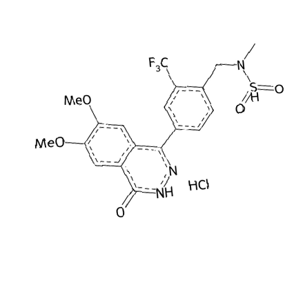 COc1cc2c(-c3ccc(CN(C)[SH](=O)=O)c(C(F)(F)F)c3)n[nH]c(=O)c2cc1OC.Cl